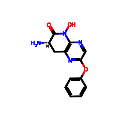 N[C@H]1Cc2nc(Oc3ccccc3)cnc2N(O)C1=O